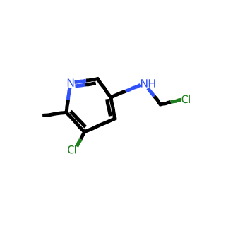 Cc1ncc(NCCl)cc1Cl